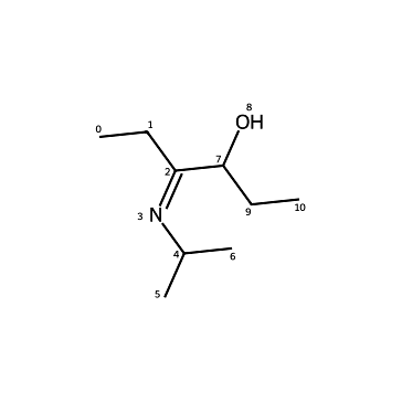 CCC(=NC(C)C)C(O)CC